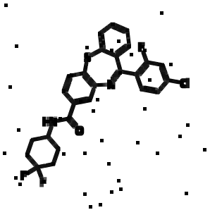 O=C(NC1CCC(F)(F)CC1)c1ccc2c(c1)N=C(c1ccc(Cl)cc1F)c1ccccc1S2